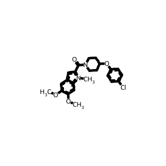 COc1cc2cc(C(=O)N3CCC(Oc4ccc(Cl)cc4)CC3)n(C)c2cc1OC